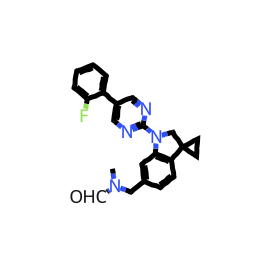 CN(C=O)Cc1ccc2c(c1)N(c1ncc(-c3ccccc3F)cn1)CC21CC1